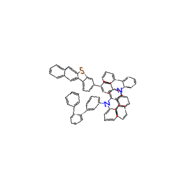 c1ccc(-c2ccccc2-c2cccc(N(c3ccccc3-c3ccccc3)c3ccccc3-c3cccc(N(c4ccc(-c5ccc6c(c5)sc5cc7ccccc7cc56)cc4)c4ccccc4-c4ccccc4)c3)c2)cc1